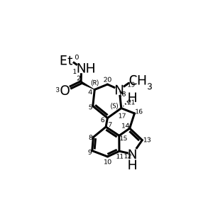 CCNC(=O)[C@@H]1C=C2c3cccc4[nH]cc(c34)C[C@@H]2N(C)C1